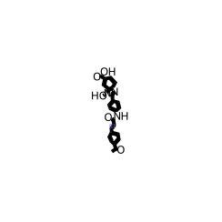 CC(=O)c1ccc(/C=C/C(=O)Nc2ccc(-c3nc4ccc(C(=O)O)cc4n3O)cc2)cc1